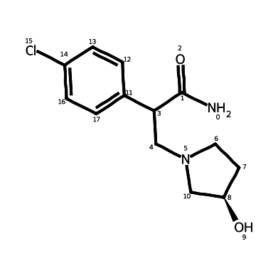 NC(=O)C(CN1CC[C@@H](O)C1)c1ccc(Cl)cc1